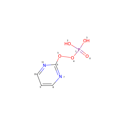 O=P(O)(O)OOc1ncccn1